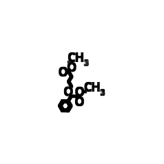 CCOC(=O)CCCOC(C(=O)OCC)c1ccccc1